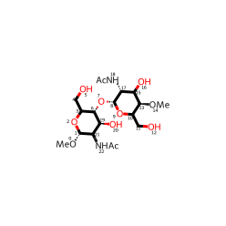 CO[C@@H]1OC(CO)[C@H](O[C@H]2OC(CO)[C@H](OC)C(O)[C@H]2NC(C)=O)[C@@H](O)C1NC(C)=O